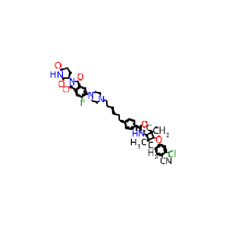 CC1(C)C(NC(=O)c2ccc(CCCCCCN3CCN(c4cc5c(cc4F)C(=O)N(C4CCC(=O)NC4=O)C5=O)CC3)cc2)C(C)(C)C1Oc1ccc(C#N)c(Cl)c1